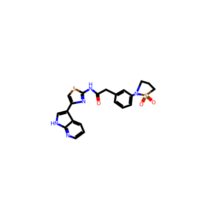 O=C(Cc1cccc(N2CCCS2(=O)=O)c1)Nc1nc(-c2c[nH]c3ncccc23)cs1